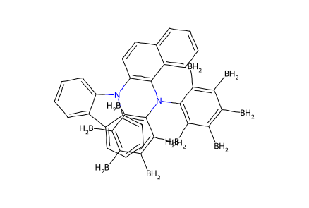 Bc1c(B)c(B)c(N(c2c(B)c(B)c(B)c(B)c2B)c2c(-n3c4ccccc4c4ccccc43)ccc3ccccc23)c(B)c1B